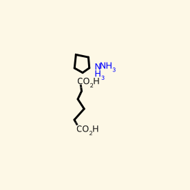 C1CCCC1.N.N.O=C(O)CCCCC(=O)O